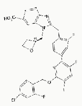 O=C(O)c1ccc2nc(Cc3ccc(-c4nc(OCc5ccc(Cl)cc5F)c(F)cc4F)cc3F)n(C[C@@H]3CCO3)c2c1